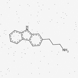 NCCCc1ccc2c(c1)[nH]c1ccccc12